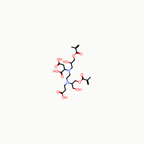 C=C(C)C(=O)OCC(O)CN(CCN(CCC(=O)O)C(CO)COC(=O)C(=C)C)C(CC(=O)O)C(=O)O